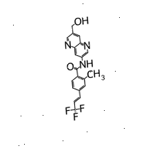 Cc1cc(C=CC(F)(F)F)ccc1C(=O)Nc1cnc2cc(CO)cnc2c1